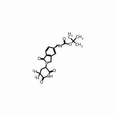 [2H]C1([2H])CC(N2Cc3cc(CNC(=O)OC(C)(C)C)ccc3C2=O)C(=O)NC1=O